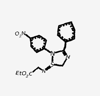 CCOC(=O)CN=S1CN=C(c2ccccc2)N1c1ccc([N+](=O)[O-])cc1